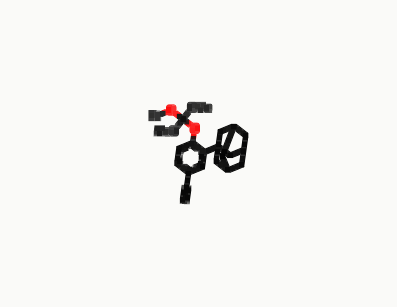 C#Cc1ccc(OC(OC)(OC)OCC)c(C23CC4CC(CC(C4)C2)C3)c1